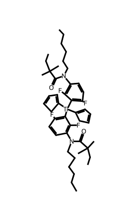 CCCCCCN(C(=O)C(C)(C)CC)c1ccc(F)[c]([Ti]([C]2=CC=CC2)([C]2=CC=CC2)[c]2c(F)ccc(N(CCCCCC)C(=O)C(C)(C)CC)c2F)c1F